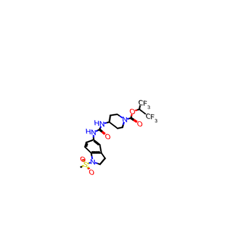 CS(=O)(=O)N1CCc2cc(NC(=O)NC3CCN(C(=O)OC(C(F)(F)F)C(F)(F)F)CC3)ccc21